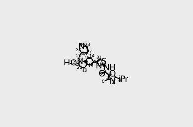 Cc1nc(C(C)C)oc1C(=O)Nc1nc(-c2ccc3c(c2)CCC(O)N3Cc2cccnc2)cs1